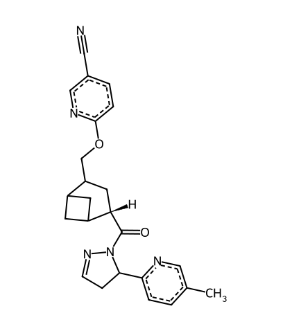 Cc1ccc(C2CC=NN2C(=O)[C@H]2CC(COc3ccc(C#N)cn3)C3CC2C3)nc1